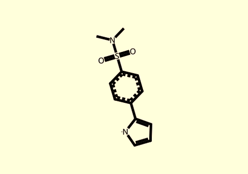 CN(C)S(=O)(=O)c1ccc(C2=CC=C[N]2)cc1